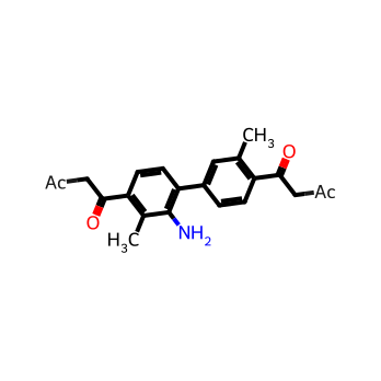 CC(=O)CC(=O)c1ccc(-c2ccc(C(=O)CC(C)=O)c(C)c2N)cc1C